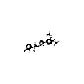 O=C(Cn1ccc(-c2ccc(OC(F)F)c(OC(F)F)c2)n1)Nc1cccc(F)c1F